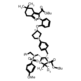 COc1ccc(S(=O)(=O)N(CC(C)C)C[C@H]2OC(C)(C)N(C(=O)OC(C)(C)C)[C@H]2Cc2ccc(N3CC[C@H](Oc4ccccc4-n4nc5c(c4C(=O)OCC(C)C)CC(C)(C)CC5)C3)cc2)cc1